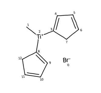 [Br-].[CH3][Ti+]([C]1=CC=CC1)[C]1=CC=CC1